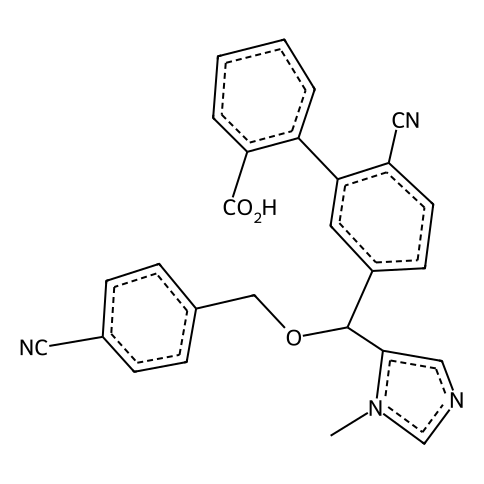 Cn1cncc1C(OCc1ccc(C#N)cc1)c1ccc(C#N)c(-c2ccccc2C(=O)O)c1